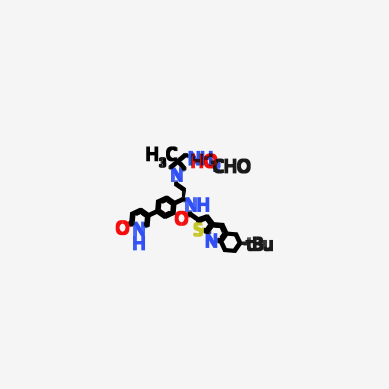 CC1(CN)CN(CC[C@@H](NC(=O)c2cc3cc4c(nc3s2)CC[C@H](C(C)(C)C)C4)c2ccc(-c3ccc(=O)[nH]c3)cc2)C1.O=CO